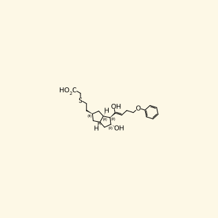 O=C(O)CSCC[C@@H]1C[C@@H]2C[C@@H](O)[C@H](C(O)=CCCOc3ccccc3)[C@@H]2C1